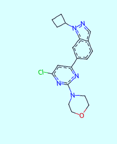 Clc1cc(-c2ccc3cnn(C4CCC4)c3c2)nc(N2CCOCC2)n1